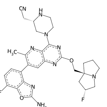 Cc1nc2c(N3CCN[C@@H](CC#N)C3)nc(OC[C@@]34CCCN3C[C@H](F)C4)nc2cc1-c1ccc(F)c2oc(N)nc12